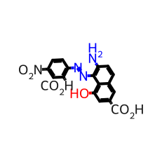 Nc1ccc2cc(C(=O)O)cc(O)c2c1/N=N/c1ccc([N+](=O)[O-])cc1C(=O)O